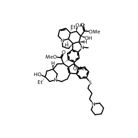 CC[C@]1(O)C[C@H]2CN(CCC3=C(Cc4ccc(SCCCN5CCCCC5)cc43)[C@@](C(=O)OC)(c3cc4c(cc3OC)N(C)[C@H]3[C@@](O)(C(=O)OC)[C@H](OC(C)=O)[C@]5(CC)C=CCN6CC[C@]43[C@@H]65)C2)C1